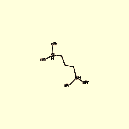 CCC[SiH](CCC)CCC[SiH](CCC)CCC